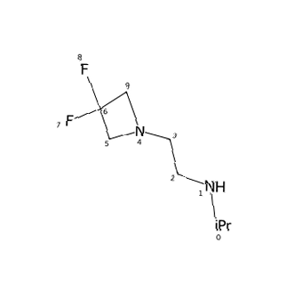 CC(C)NCCN1CC(F)(F)C1